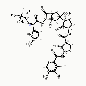 CC(C)(O/N=C(\C(=O)NC1C(=O)N2CC(C(=O)O)(N3CCN(NC(=O)N4CCN(NC(=O)c5ccc(O)c(O)c5Cl)C4=O)C3=O)S[C@H]12)c1csc(N)n1)C(=O)O